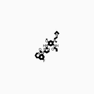 C=CC(=O)Nc1cc(Nc2nccc(-n3c(=O)n4c5c(cc(F)cc53)CCC4)n2)c(OC)cc1N(C)CCN1CCC1